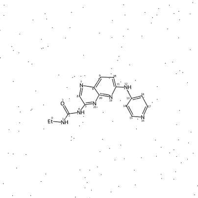 CCNC(=O)Nc1cnc2ccc(Nc3ccncc3)nc2n1